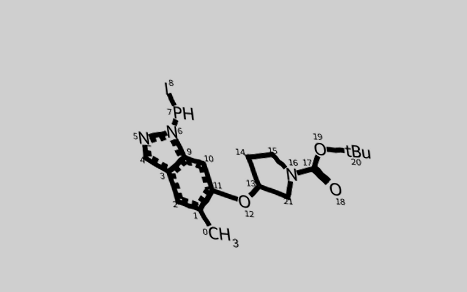 Cc1cc2cnn(PI)c2cc1OC1CCN(C(=O)OC(C)(C)C)C1